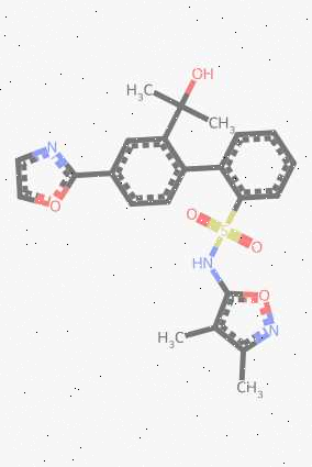 Cc1noc(NS(=O)(=O)c2ccccc2-c2ccc(-c3ncco3)cc2C(C)(C)O)c1C